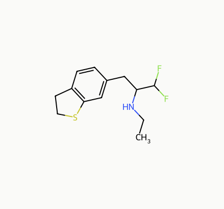 CCNC(Cc1ccc2c(c1)SCC2)C(F)F